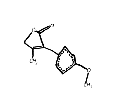 COc1ccc(C2=C(C)COC2=O)cc1